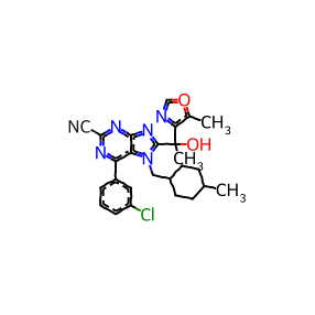 Cc1ocnc1C(C)(O)c1nc2nc(C#N)nc(-c3cccc(Cl)c3)c2n1CC1CCC(C)CC1